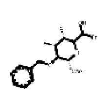 CCC(O)C1O[C@H](OC)C(OCc2ccccc2)[C@@H](C)[C@@H]1C